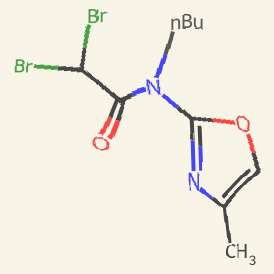 CCCCN(C(=O)C(Br)Br)c1nc(C)co1